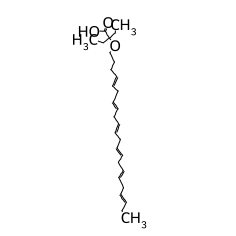 CCC=CCC=CCC=CCC=CCC=CCC=CCCCOC(CC)(CC)C(=O)O